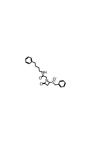 O=C(CN1C(=O)CC1[S+]([O-])Cc1ccccc1)NCCCCc1ccccc1